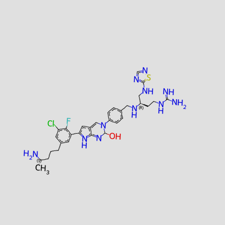 C[C@H](N)CCCc1cc(Cl)c(F)c(-c2cc3c([nH]2)=NC(O)N(c2ccc(CN[C@H](CCNC(=N)N)CNc4ncns4)cc2)C=3)c1